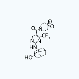 O=C(c1cnc(NC23CC4CC(CC(O)(C4)C2)C3)nc1C(F)(F)F)N1CCS(=O)(=O)CC1